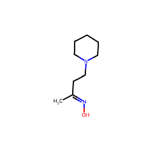 CC(CCN1CCCCC1)=NO